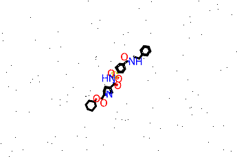 O=C(NCCc1ccccc1)c1ccc(S(=O)(=O)NC(=O)c2ccc(C(=O)OC3CCCCC3)nc2)cc1